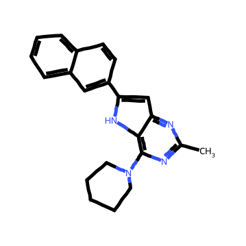 Cc1nc(N2CCCCC2)c2[nH]c(-c3ccc4ccccc4c3)cc2n1